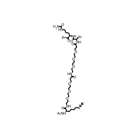 CC(=O)NC(CCCCN=[N+]=[N-])C(=O)NCCOCCOCCOCCC(=O)NCCOCCOCCOCCC(=O)NC(C(=O)NC(CCCNC(N)=O)C(=O)C(C)C)C(C)C